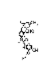 CN1CCN(Cc2ccc(N(C)C(=O)Nc3cc(OCCF)c(C#N)cn3)nc2C=O)C(=O)C1